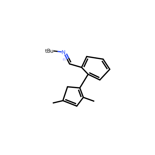 CC1=CC(C)=C(c2ccccc2/C=N/C(C)(C)C)C1